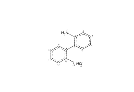 Cl.Nc1ccccc1-c1ccccc1I